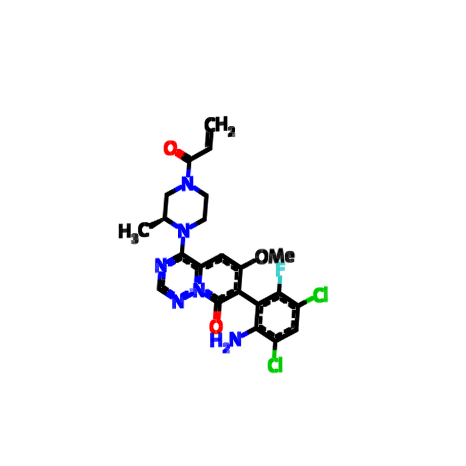 C=CC(=O)N1CCN(c2ncnn3c(=O)c(-c4c(N)c(Cl)cc(Cl)c4F)c(OC)cc23)[C@@H](C)C1